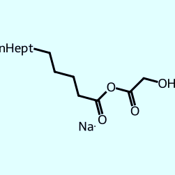 CCCCCCCCCCCC(=O)OC(=O)CO.[Na]